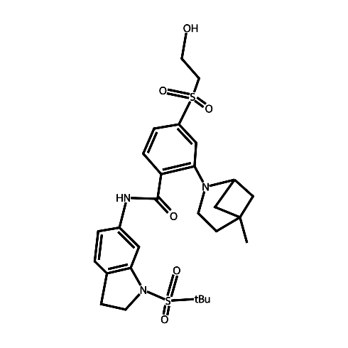 CC12CCN(c3cc(S(=O)(=O)CCO)ccc3C(=O)Nc3ccc4c(c3)N(S(=O)(=O)C(C)(C)C)CC4)C(C1)C2